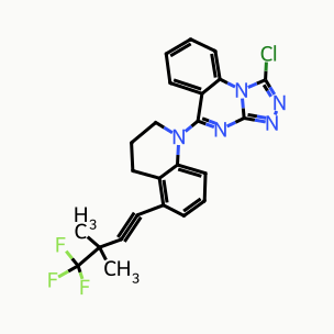 CC(C)(C#Cc1cccc2c1CCCN2c1nc2nnc(Cl)n2c2ccccc12)C(F)(F)F